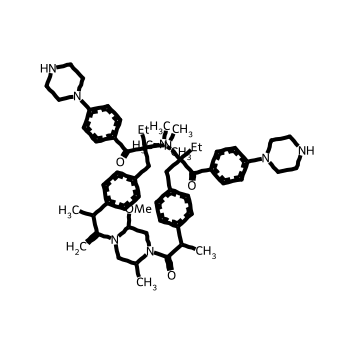 C=C(C(C)c1ccc(CC(CC)(C(=O)c2ccc(N3CCNCC3)cc2)N(C)C)cc1)N1CC(C)N(C(=O)C(C)c2ccc(CC(CC)(C(=O)c3ccc(N4CCNCC4)cc3)N(C)C)cc2)CC1OC